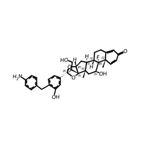 C[C@]12C=CC(=O)C=C1CC[C@H]1[C@@H]3C[C@H]4O[C@@H](c5ccc(Cc6ccc(N)cc6)c(O)c5)O[C@@]4(C(=O)CO)[C@@]3(C)C[C@H](O)[C@@]12F